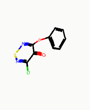 O=c1c(Cl)nsnc1Oc1ccccc1